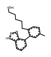 CCCCCCCCCCCCCCCc1ccc(C)cc1-c1cccc2[nH]nnc12